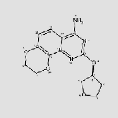 Nc1nc(O[C@H]2CCOC2)nc2c3c(ccc12)OCCO3